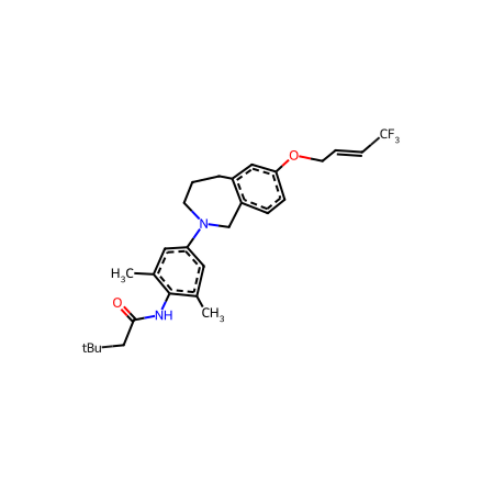 Cc1cc(N2CCCc3cc(OC/C=C/C(F)(F)F)ccc3C2)cc(C)c1NC(=O)CC(C)(C)C